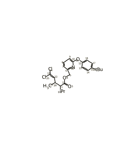 CC(C)C(C(=O)OCc1cccc(Oc2ccc(C(C)(C)C)cc2)n1)C(C)C=C(Cl)Cl